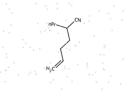 C=CCCC(C#N)CCC